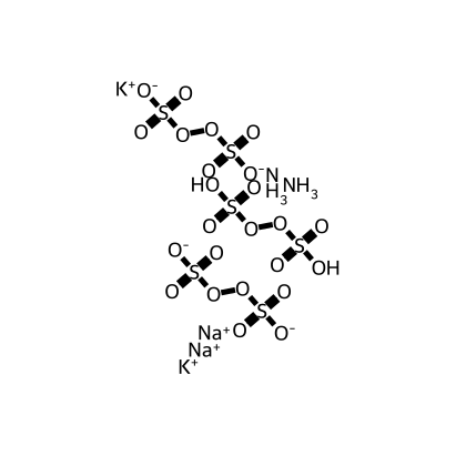 N.N.O=S(=O)(O)OOS(=O)(=O)O.O=S(=O)([O-])OOS(=O)(=O)[O-].O=S(=O)([O-])OOS(=O)(=O)[O-].[K+].[K+].[Na+].[Na+]